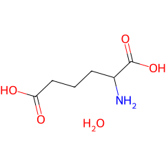 NC(CCCC(=O)O)C(=O)O.O